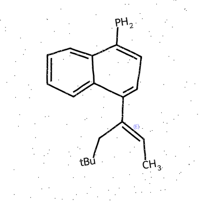 C/C=C(\CC(C)(C)C)c1ccc(P)c2ccccc12